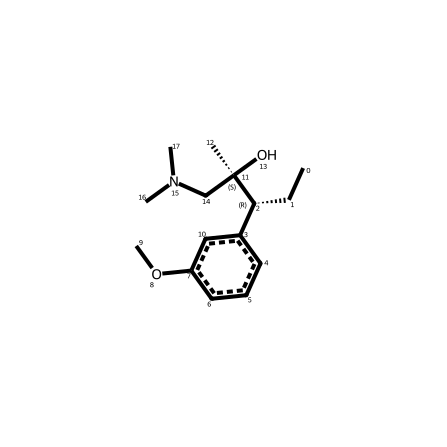 CC[C@H](c1cccc(OC)c1)[C@](C)(O)CN(C)C